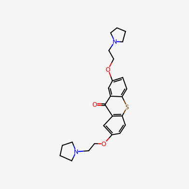 O=c1c2cc(OCCN3CCCC3)ccc2sc2ccc(OCCN3CCCC3)cc12